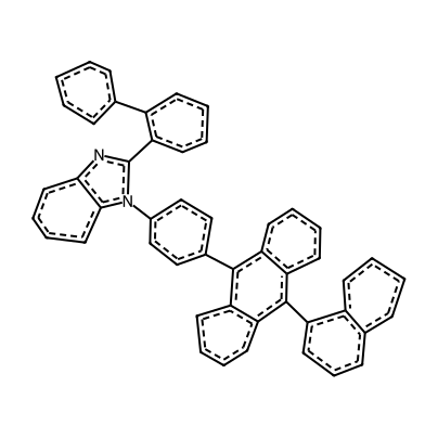 c1ccc(-c2ccccc2-c2nc3ccccc3n2-c2ccc(-c3c4ccccc4c(-c4cccc5ccccc45)c4ccccc34)cc2)cc1